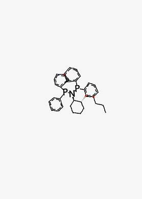 CCCCC[C@@H]1CCCC[C@H]1N(P(c1ccccc1)c1ccccc1)P(c1ccccc1)c1ccccc1